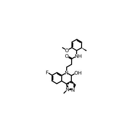 COC1=CC=C[C@@H](C)C1NC(=O)CCN1C2=CC(F)=CCC2c2c(cnn2C)C1O